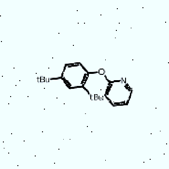 CC(C)(C)c1ccc(Oc2ccccn2)c(C(C)(C)C)c1